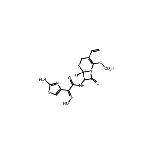 C=CC1=C(OC(=O)O)N2C(=O)C(NC(=O)C(=NO)c3csc(N)n3)[C@@H]2SC1